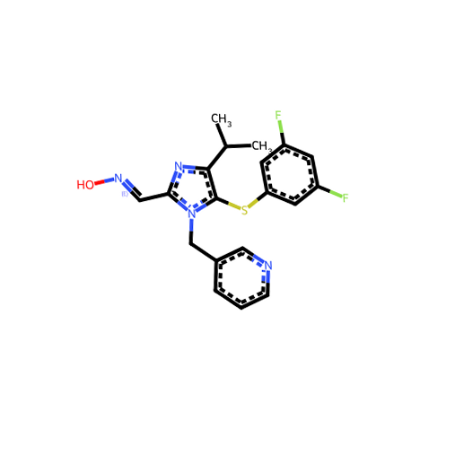 CC(C)c1nc(/C=N/O)n(Cc2cccnc2)c1Sc1cc(F)cc(F)c1